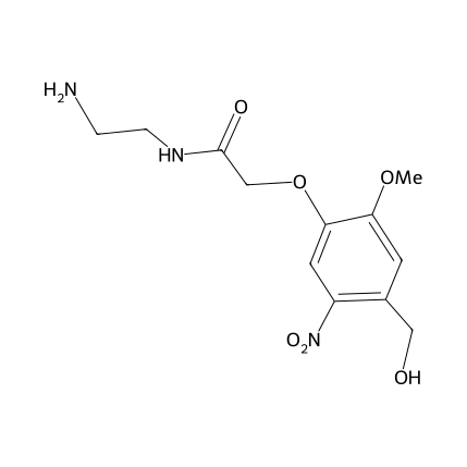 COc1cc(CO)c([N+](=O)[O-])cc1OCC(=O)NCCN